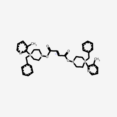 Cc1cccnc1S1(Cc2ccccc2)CCN(OC(=O)/C=C/C(=O)ON2CCS(Cc3ccccc3)(c3ncccc3C)CC2)CC1